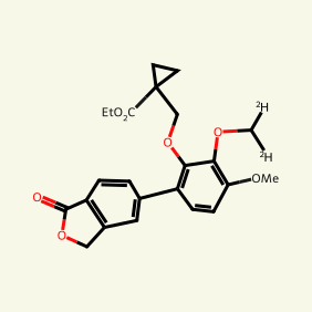 [2H]C([2H])Oc1c(OC)ccc(-c2ccc3c(c2)COC3=O)c1OCC1(C(=O)OCC)CC1